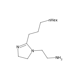 CCCCCCCCCC1=NCCN1CCN